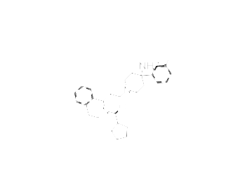 CC(=O)NC1(c2cccc(F)c2)CCN(CCC2c3ccccc3CCN2C(=O)C2CCCC2)CC1